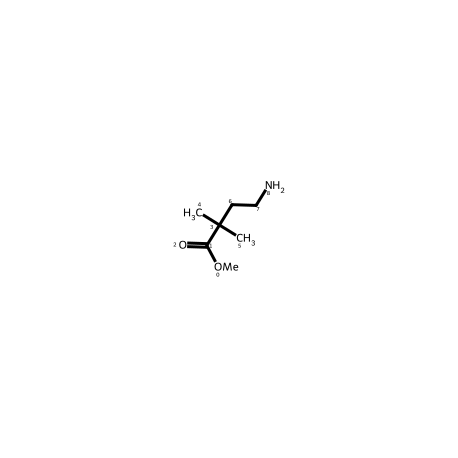 COC(=O)C(C)(C)CCN